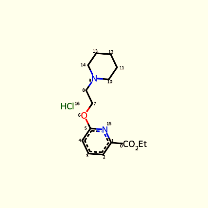 CCOC(=O)c1cccc(OCCN2CCCCC2)n1.Cl